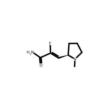 CN1CCC[C@@H]1/C=C(\F)C(N)=O